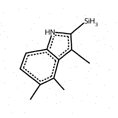 Cc1ccc2[nH]c([SiH3])c(C)c2c1C